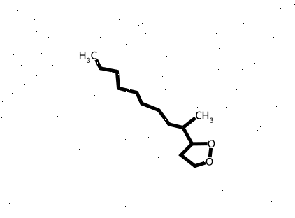 CCCCCCCCC(C)C1CCOO1